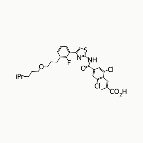 CC(=Cc1c(Cl)cc(C(=O)Nc2nc(-c3cccc(CCCOCCCC(C)C)c3F)cs2)cc1Cl)C(=O)O